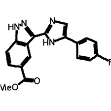 COC(=O)c1ccc2[nH]nc(-c3ncc(-c4ccc(F)cc4)[nH]3)c2c1